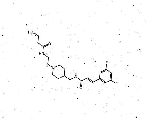 O=C(C=Cc1cc(F)cc(F)c1)NCC1CCN(CCNC(=O)CCC(F)(F)F)CC1